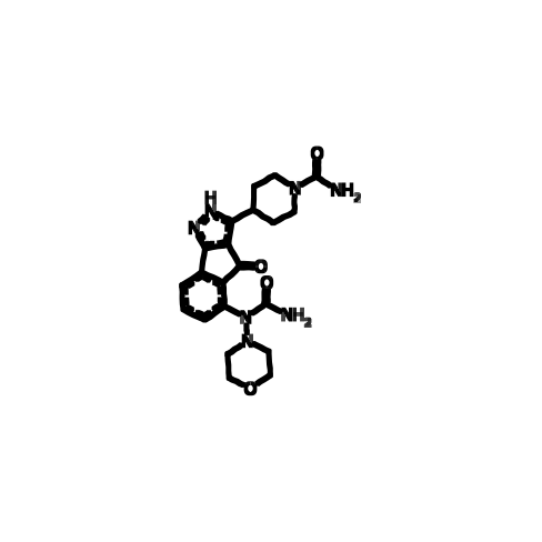 NC(=O)N1CCC(c2[nH]nc3c2C(=O)c2c-3cccc2N(C(N)=O)N2CCOCC2)CC1